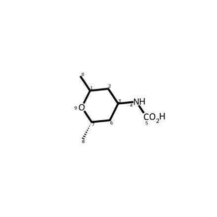 CC1CC(NC(=O)O)C[C@H](C)O1